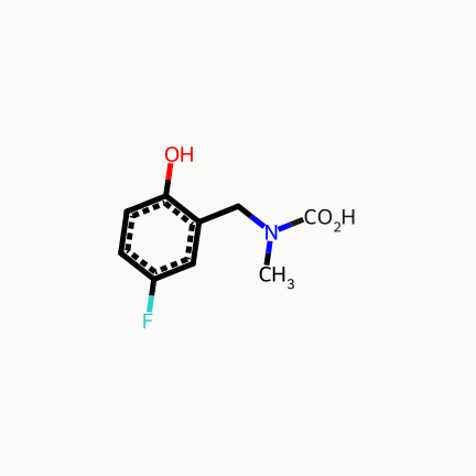 CN(Cc1cc(F)ccc1O)C(=O)O